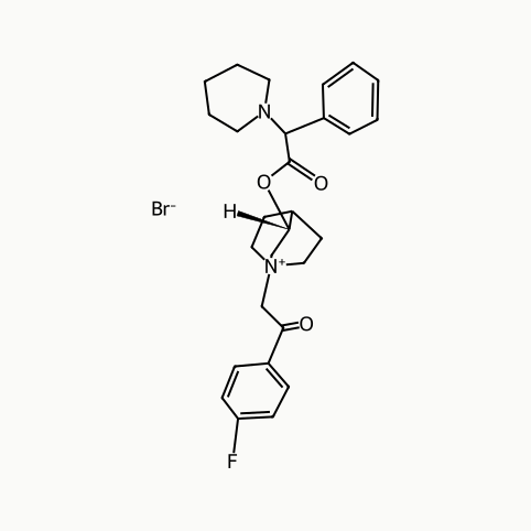 O=C(C[N+]12CCC(CC1)[C@@H](OC(=O)C(c1ccccc1)N1CCCCC1)C2)c1ccc(F)cc1.[Br-]